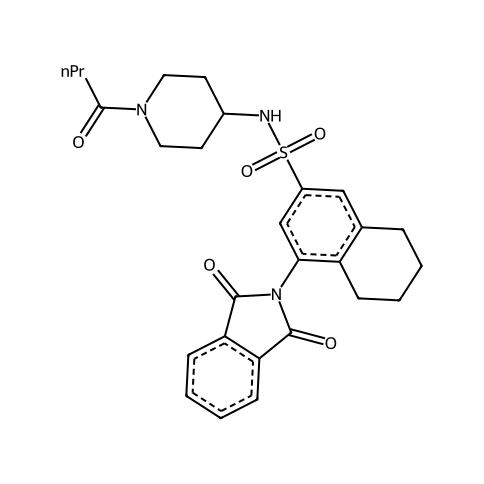 CCCC(=O)N1CCC(NS(=O)(=O)c2cc3c(c(N4C(=O)c5ccccc5C4=O)c2)CCCC3)CC1